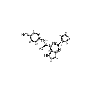 N#Cc1ccc(NC(=O)c2nc(-n3ccnc3)nc3cc[nH]c23)cc1